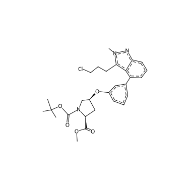 COC(=O)[C@@H]1C[C@H](Oc2cccc(-c3cccc4nn(C)c(CCCCl)c34)c2)CN1C(=O)OC(C)(C)C